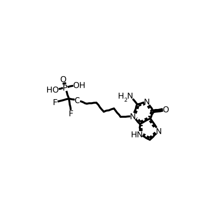 Nc1nc(=O)c2nc[nH]c2n1CCCCCCC(F)(F)P(=O)(O)O